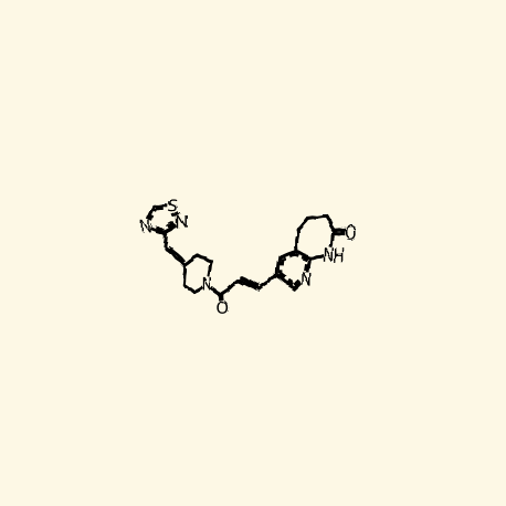 O=C1CCCc2cc(C=CC(=O)N3CCC(=Cc4ncsn4)CC3)cnc2N1